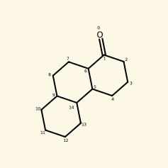 O=C1CCCC2C1CCC1CCCCC12